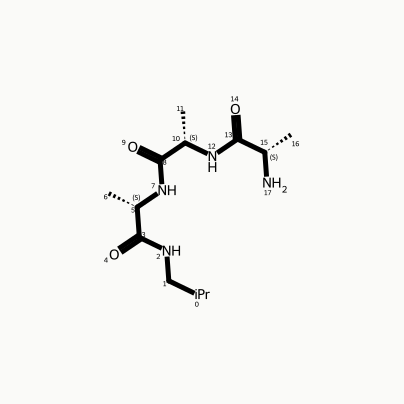 CC(C)CNC(=O)[C@H](C)NC(=O)[C@H](C)NC(=O)[C@H](C)N